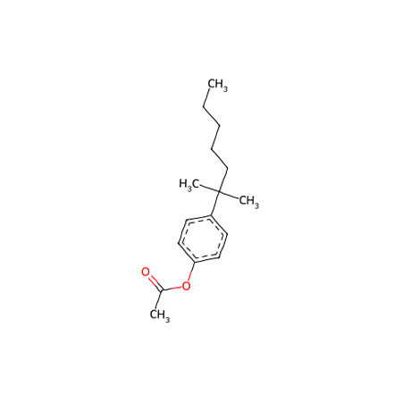 CCCCCC(C)(C)c1ccc(OC(C)=O)cc1